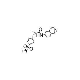 CC(C)S(=O)(=O)c1ccc([C@@H]2C[C@H]2C(=O)Nc2ccc3cnccc3c2)cc1